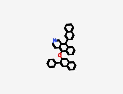 c1ccc(-c2cc3ccccc3cc2Oc2c3ccccc3c(-c3ccc4ccccc4c3)c3cnccc23)cc1